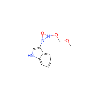 COCOn1on1-c1c[nH]c2ccccc12